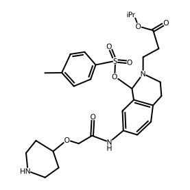 Cc1ccc(S(=O)(=O)OC2c3cc(NC(=O)COC4CCNCC4)ccc3CCN2CCC(=O)OC(C)C)cc1